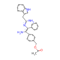 CC(=O)OCc1ccc(/C(N)=C(/N=C(\N)Cc2c[nH]c3ccccc23)c2ccccc2)cc1